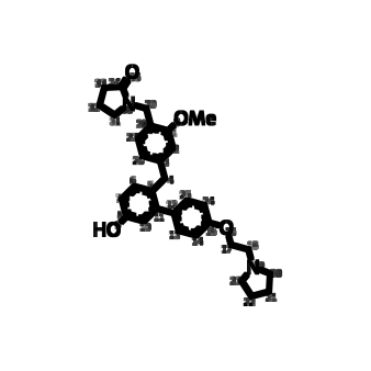 COc1cc(Cc2ccc(O)cc2-c2ccc(OCCN3CCCC3)cc2)ccc1CN1CCCC1=O